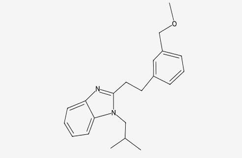 COCc1cccc(CCc2nc3ccccc3n2CC(C)C)c1